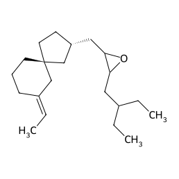 C/C=C1\CCC[C@]2(CC[C@H](CC3OC3CC(CC)CC)C2)C1